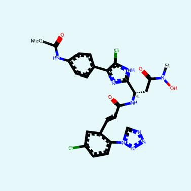 CCN(O)C(=O)C[C@H](NC(=O)C=Cc1cc(Cl)ccc1-n1cnnn1)c1nc(-c2ccc(NC(=O)OC)cc2)c(Cl)[nH]1